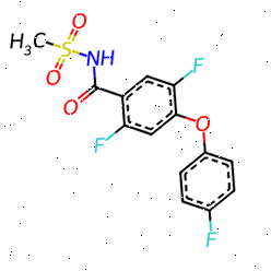 CS(=O)(=O)NC(=O)c1cc(F)c(Oc2ccc(F)cc2)cc1F